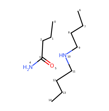 CCCC(N)=O.CCCCNCCCC